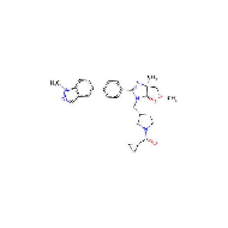 COC[C@]1(C)N=C(c2ccc(-c3ccc4c(cnn4C)c3)cc2)N(C[C@@H]2CCN(C(=O)C3CC3)C2)C1=O